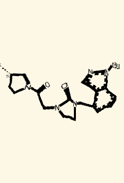 CC(C)(C)n1ncc2c(N3CCN(CC(=O)N4CC[C@H](F)C4)C3=O)cccc21